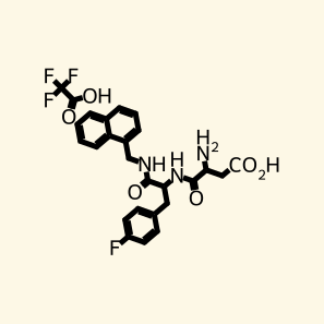 NC(CC(=O)O)C(=O)NC(Cc1ccc(F)cc1)C(=O)NCc1cccc2ccccc12.O=C(O)C(F)(F)F